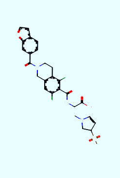 CS(=O)(=O)C1C=CN(C[C@H](NC(=O)c2c(Cl)cc3c(c2Cl)CCN(C(=O)c2ccc4ccoc4c2)C3)C(=O)O)C1